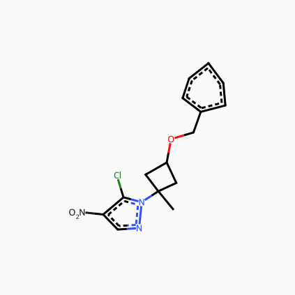 CC1(n2ncc([N+](=O)[O-])c2Cl)CC(OCc2ccccc2)C1